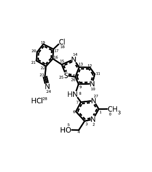 Cc1nc(CO)cc(Nc2nccc3nc(-c4c(Cl)cccc4C#N)sc23)n1.Cl